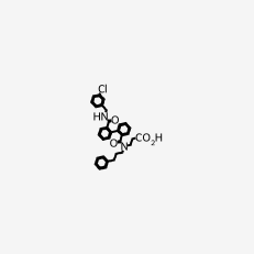 O=C(O)CCN(CCCc1ccccc1)C(=O)c1ccccc1-c1ccccc1C(=O)NCc1cccc(Cl)c1